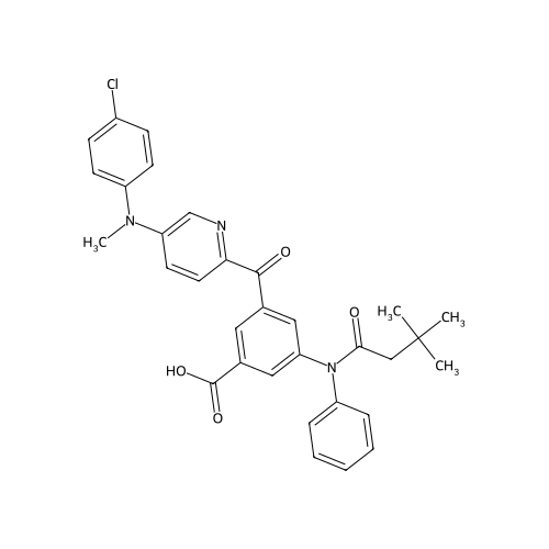 CN(c1ccc(Cl)cc1)c1ccc(C(=O)c2cc(C(=O)O)cc(N(C(=O)CC(C)(C)C)c3ccccc3)c2)nc1